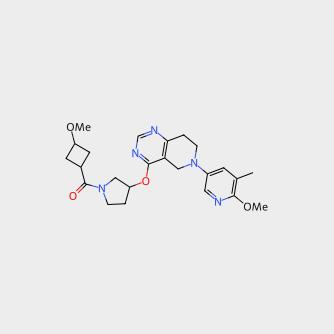 COc1ncc(N2CCc3ncnc(OC4CCN(C(=O)C5CC(OC)C5)C4)c3C2)cc1C